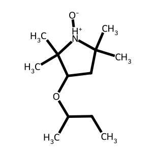 CCC(C)OC1CC(C)(C)[NH+]([O-])C1(C)C